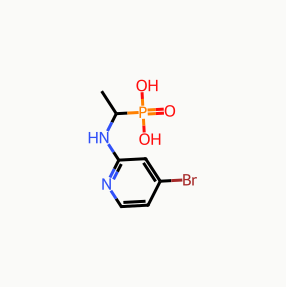 CC(Nc1cc(Br)ccn1)P(=O)(O)O